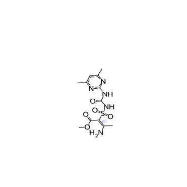 COC(=O)/C(=C(/C)N)S(=O)(=O)NC(=O)Nc1nc(C)cc(C)n1